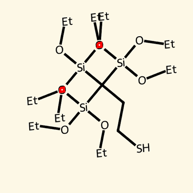 CCO[Si](OCC)(OCC)C(CCS)([Si](OCC)(OCC)OCC)[Si](OCC)(OCC)OCC